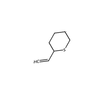 [CH]=CC1CC[CH]CS1